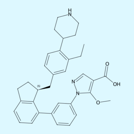 CCc1cc(C[C@@H]2CCc3cccc(-c4cccc(-n5ncc(C(=O)O)c5OC)c4)c32)ccc1C1CCNCC1